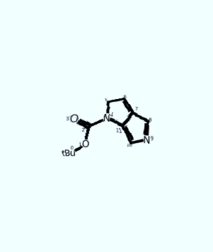 CC(C)(C)OC(=O)N1CC=C2C=NC=C21